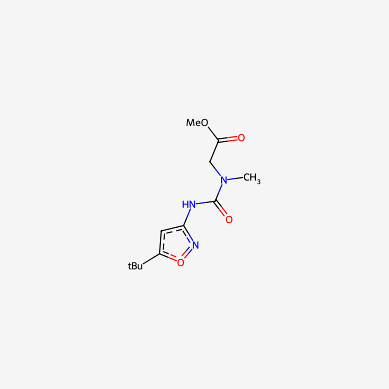 COC(=O)CN(C)C(=O)Nc1cc(C(C)(C)C)on1